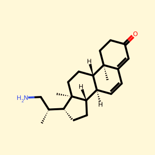 C[C@H](CN)[C@H]1CC[C@H]2[C@@H]3C=CC4=CC(=O)CC[C@]4(C)[C@H]3CC[C@]12C